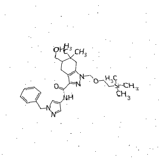 CC1(C)Cc2c(c(C(=O)Nc3cnn(Cc4ccccc4)c3)nn2COCC[Si](C)(C)C)CC1CO